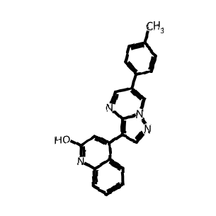 Cc1ccc(-c2cnc3c(-c4cc(O)nc5ccccc45)cnn3c2)cc1